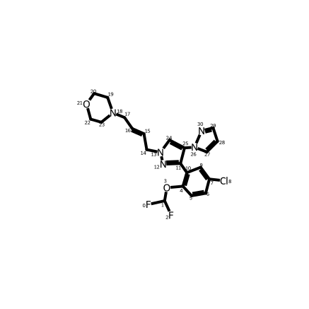 FC(F)Oc1ccc(Cl)cc1-c1nn(C/C=C/CN2CCOCC2)cc1-n1cccn1